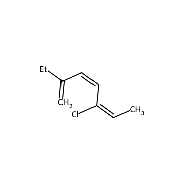 C=C(/C=C\C(Cl)=C/C)CC